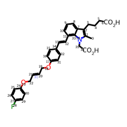 Cc1c(CCCC(=O)O)c2cccc(C=Cc3ccc(OC/C=C/COc4ccc(F)cc4)cc3)c2n1CC(=O)O